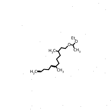 C=CCCC=C(C)CCCC(C)CCOC(C)OCC